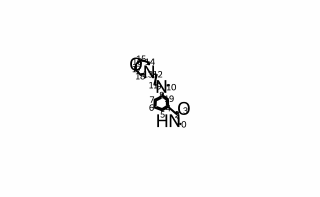 CNC(=O)c1cccc(N(C)CCN2CCOCC2)c1